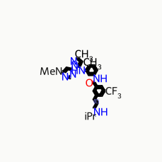 CNc1cc(-n2nc(C)cc2Nc2cc(NC(=O)c3cc(/C=C/CNC(C)C)cc(C(F)(F)F)c3)ccc2C)ncn1